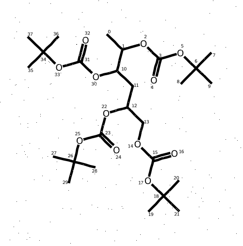 CC(OC(=O)OC(C)(C)C)C(CC(COC(=O)OC(C)(C)C)OC(=O)OC(C)(C)C)OC(=O)OC(C)(C)C